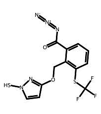 [N-]=[N+]=NC(=O)c1cccc(SC(F)(F)F)c1COc1ccn(S)n1